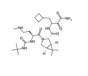 CNCC[C@H](NC(=O)NC(C)(C)C)C(=O)N1C[C@H]2[C@@H]([C@H]1C(=O)NC(CC1CCC1)C(=O)C(N)=O)C2(C)C